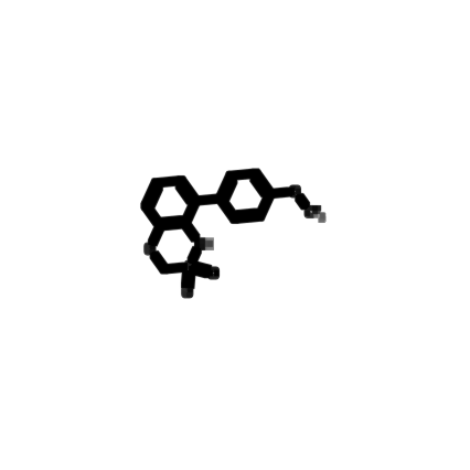 O=S1(=O)COc2cccc(-c3ccc(OC(F)(F)F)cc3)c2N1